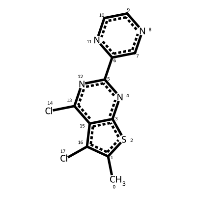 Cc1sc2nc(-c3cnccn3)nc(Cl)c2c1Cl